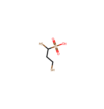 O=S(=O)(O)C(S)CCS